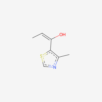 C/C=C(/O)c1scnc1C